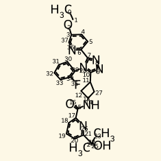 CCOc1ccc(-c2nnc(C3CC(NC(=O)c4cccc(C(C)(C)O)n4)C3)n2-c2ccccc2F)nc1